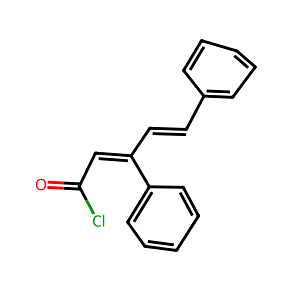 O=C(Cl)C=C(C=Cc1ccccc1)c1ccccc1